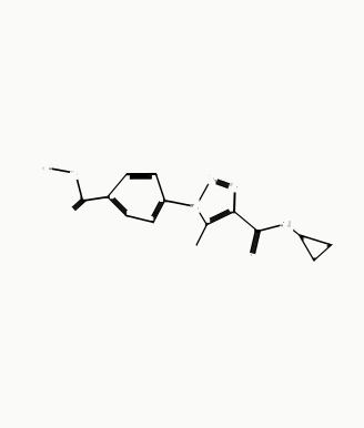 Cc1c(C(=O)NC2CC2)nnn1-c1ccc(C(=O)NC(C)(C)C)cc1